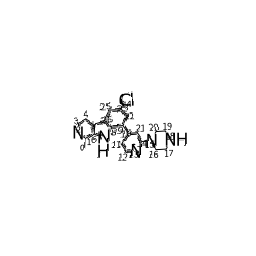 Cc1nccc2c1[nH]c1c(-c3ccnc(N4CCNCC4)c3)cc(Cl)cc12